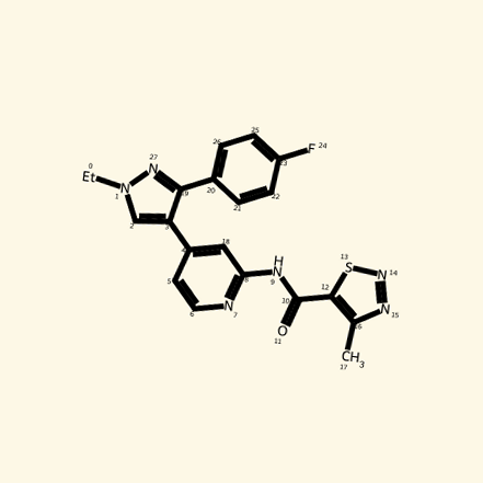 CCn1cc(-c2ccnc(NC(=O)c3snnc3C)c2)c(-c2ccc(F)cc2)n1